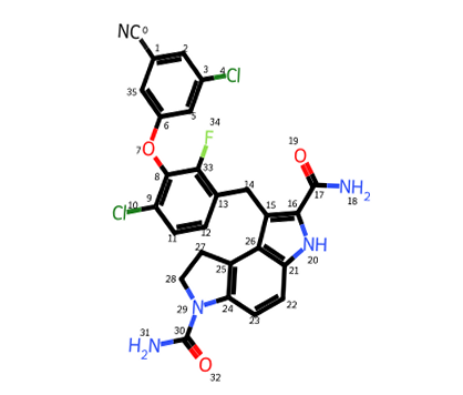 N#Cc1cc(Cl)cc(Oc2c(Cl)ccc(Cc3c(C(N)=O)[nH]c4ccc5c(c34)CCN5C(N)=O)c2F)c1